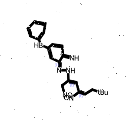 CC(C)(C)C/C=C(\C=C(/CN=O)N/N=C1/C=C(Bc2ccccc2)C=CC1=N)N=O